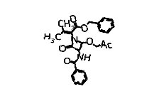 CC(=O)COC1C(NC(=O)c2ccccc2)C(=O)N1C(C(=O)OCc1ccccc1)=C(C)C